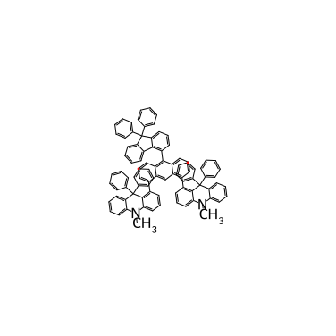 CN1c2ccccc2C(c2ccccc2)(c2ccccc2)c2c(-c3cccc4c(-c5cccc6c5-c5ccccc5C6(c5ccccc5)c5ccccc5)c5cccc(-c6cccc7c6C(c6ccccc6)(c6ccccc6)c6ccccc6N7C)c5cc34)cccc21